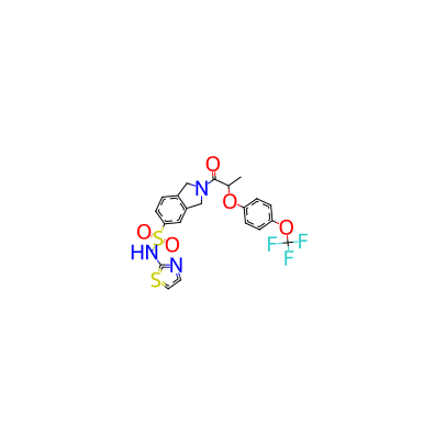 CC(Oc1ccc(OC(F)(F)F)cc1)C(=O)N1Cc2ccc(S(=O)(=O)Nc3nccs3)cc2C1